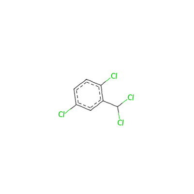 Clc1ccc(Cl)c(C(Cl)Cl)c1